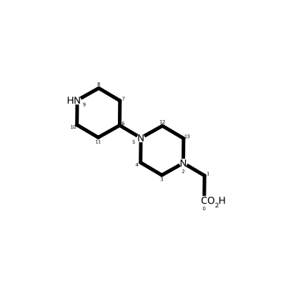 O=C(O)CN1CCN(C2CCNCC2)CC1